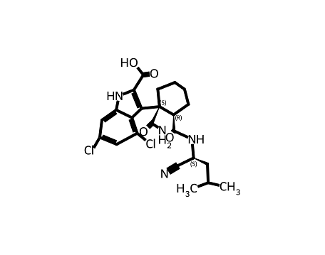 CC(C)C[C@@H](C#N)NC(=O)[C@@H]1CCCC[C@@]1(C(N)=O)c1c(C(=O)O)[nH]c2cc(Cl)cc(Cl)c12